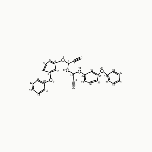 C#CC(Oc1cccc(Oc2ccccc2)c1)OC(C#C)Oc1cccc(Oc2ccccc2)c1